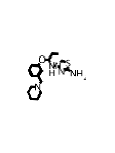 CCC(NN1CSC(N)=N1)Oc1cccc(CN2CCCCC2)c1